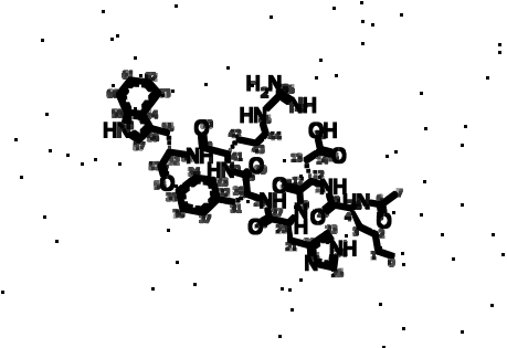 CCCC[C@H](NC(C)=O)C(=O)N[C@@H](CC(=O)O)C(=O)N[C@@H](Cc1c[nH]cn1)C(=O)N[C@H](Cc1ccccc1)C(=O)N[C@@H](CCCNC(=N)N)C(=O)N[C@H]([C]=O)Cc1c[nH]c2ccccc12